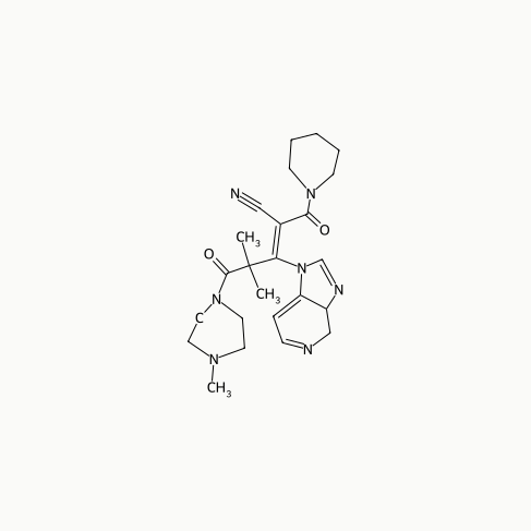 CN1CCN(C(=O)C(C)(C)C(=C(C#N)C(=O)N2CCCCC2)N2C=NC3CN=CC=C32)CC1